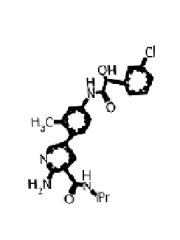 Cc1cc(NC(=O)C(O)c2cccc(Cl)c2)ccc1-c1cnc(N)c(C(=O)NC(C)C)c1